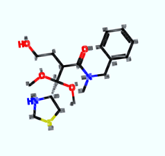 COC(OC)(C(CCO)C(=O)N(C)Cc1ccccc1)[C@@H]1CSCN1